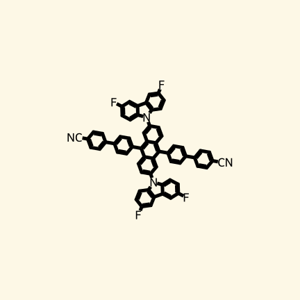 N#Cc1ccc(-c2ccc(-c3c4ccc(-n5c6ccc(F)cc6c6cc(F)ccc65)cc4c(-c4ccc(-c5ccc(C#N)cc5)cc4)c4ccc(-n5c6ccc(F)cc6c6cc(F)ccc65)cc34)cc2)cc1